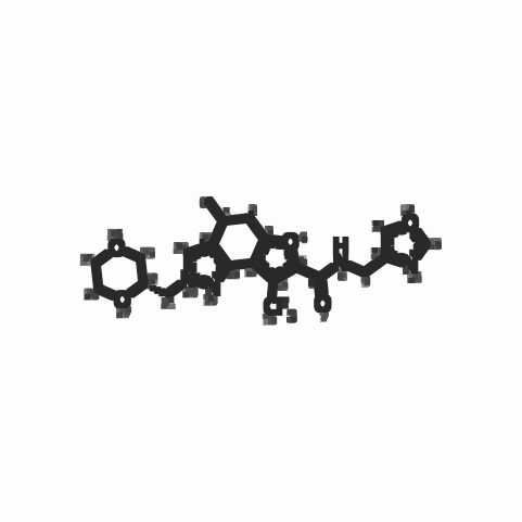 CC1Cc2oc(C(=O)NCc3cocn3)c(C(F)(F)F)c2-c2nn(C[C@H]3COCCO3)cc21